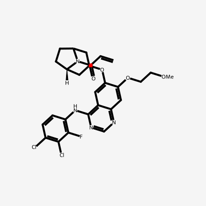 C=CC(=O)N1C2CC[C@H]1CC(Oc1cc3c(Nc4ccc(Cl)c(Cl)c4F)ncnc3cc1OCCOC)C2